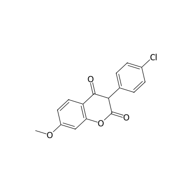 COc1ccc2c(c1)OC(=O)C(c1ccc(Cl)cc1)C2=O